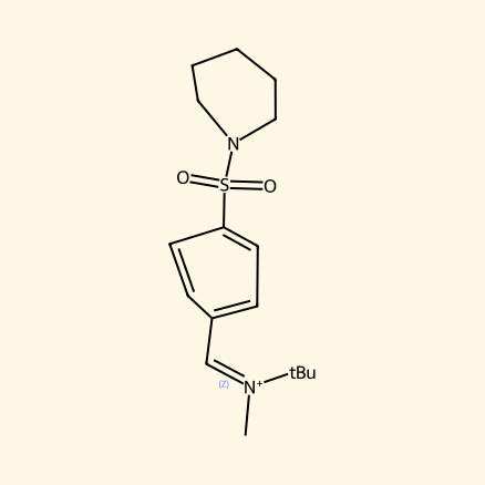 C/[N+](=C/c1ccc(S(=O)(=O)N2CCCCC2)cc1)C(C)(C)C